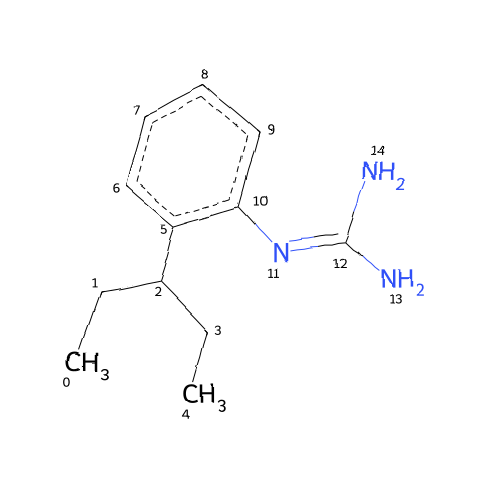 CCC(CC)c1ccccc1N=C(N)N